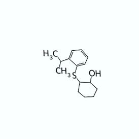 CC(C)c1ccccc1SC1CCCCC1O